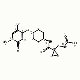 Cn1cc(Br)c(O[C@H]2CC[C@H](NC(=O)C3(CNC(=O)O)CC3)CC2)cc1=O